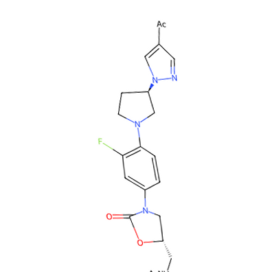 CC(=O)NC[C@H]1CN(c2ccc(N3CC[C@@H](n4cc(C(C)=O)cn4)C3)c(F)c2)C(=O)O1